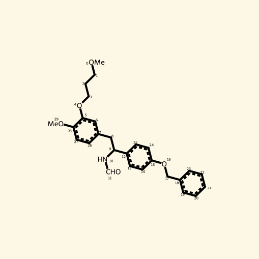 COCCCOc1cc(CC(NC=O)c2ccc(OCc3ccccc3)cc2)ccc1OC